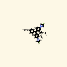 C=C[Si]1(C)C2=CC(=[N+]3CC(F)C3)C=CC2=C(c2c(OC)cc(C(=O)[O-])cc2OC)c2ccc(N3CC(F)C3)cc21